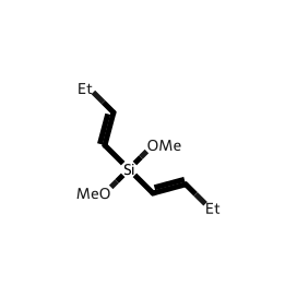 CC/C=C/[Si](/C=C/CC)(OC)OC